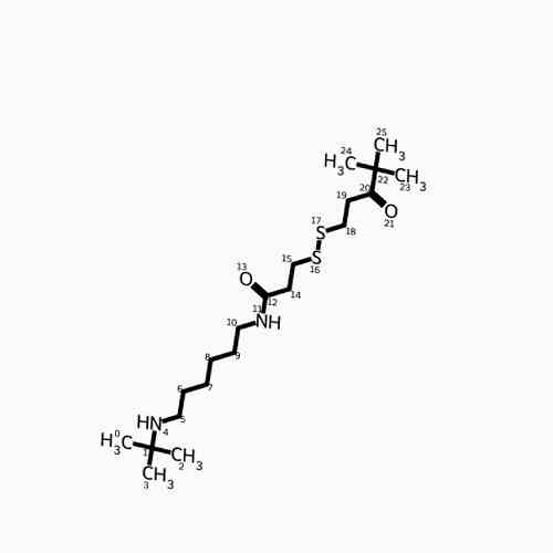 CC(C)(C)NCCCCCCNC(=O)CCSSCCC(=O)C(C)(C)C